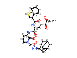 CNC(=O)C(=O)CC[C@H](NC(=O)c1csc2ccccc12)C(=O)Nc1cccn(CC(=O)NC2C3CC4CC(C3)CC2C4)c1=O